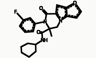 CC1(C(=O)NC2CCCCC2)Cn2c(cc3occc32)C(=O)N1c1cccc(F)c1